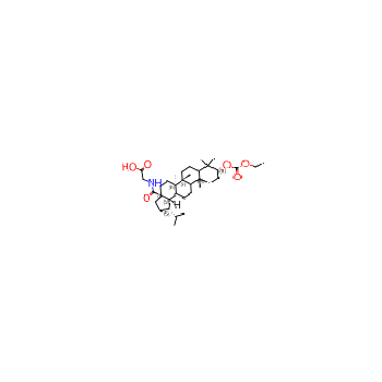 CCOC(=O)O[C@@H]1CC[C@@]2(C)C(CC[C@]3(C)C2CCC2[C@@H]4[C@H](C(C)C)CC[C@]4(C(=O)NCC(=O)O)CC[C@]23C)C1(C)C